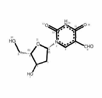 O=Cc1cn([C@@H]2CC(O)[C@H](CO)O2)c(=O)[nH]c1=O